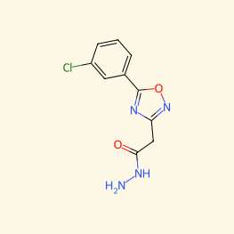 NNC(=O)Cc1noc(-c2cccc(Cl)c2)n1